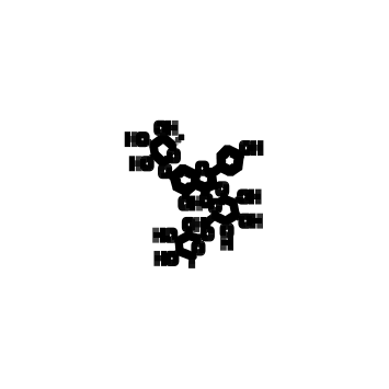 C[C@@H]1O[C@@H](OC[C@H]2OC(Oc3c(-c4ccc(O)cc4)oc4cc(O[C@@H]5O[C@@H](C)[C@H](O)[C@@H](O)[C@H]5O)cc(O)c4c3=O)[C@H](O)[C@@H](O)[C@H]2O)[C@H](O)[C@H](O)[C@H]1O